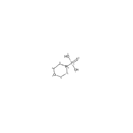 O=P(O)(O)N1CCOCC1